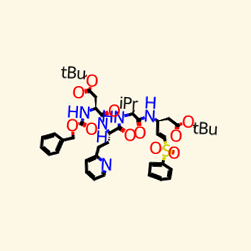 CC(C)[C@H](NC(=O)[C@H](CCc1ccccn1)NC(=O)[C@H](CC(=O)OC(C)(C)C)NC(=O)OCc1ccccc1)C(=O)N[C@H](/C=C/S(=O)(=O)c1ccccc1)CC(=O)OC(C)(C)C